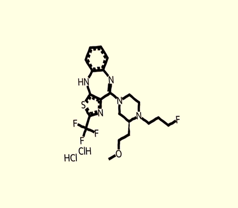 COCC[C@H]1CN(C2=Nc3ccccc3Nc3sc(C(F)(F)F)nc32)CCN1CCCF.Cl.Cl